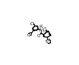 O=C(Nc1cc(Cl)cc(C2COC2)c1)c1cc(N2CCCS2)ccc1Cl